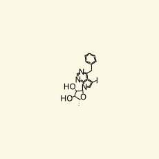 C[C@H]1O[C@@H](n2cc(I)c3c(Cc4ccccc4)ncnc32)[C@H](O)[C@@H]1O